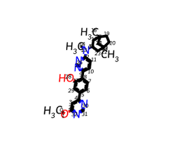 COc1cc(-c2ccc(-c3ccc(N(C)[C@H]4C[C@]5(C)CC[C@](C)(C4)C5)nn3)c(O)c2)ncn1